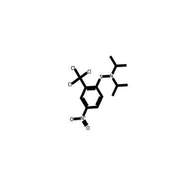 CC(C)N(Sc1ccc([N+](=O)[O-])cc1C(Cl)(Cl)Cl)C(C)C